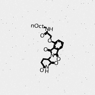 CCCCCCCCNC(=O)COc1cccc2c1C(=O)N(C1CCC(=O)NC1=O)C2=O